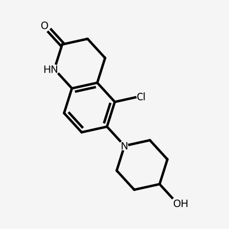 O=C1CCc2c(ccc(N3CCC(O)CC3)c2Cl)N1